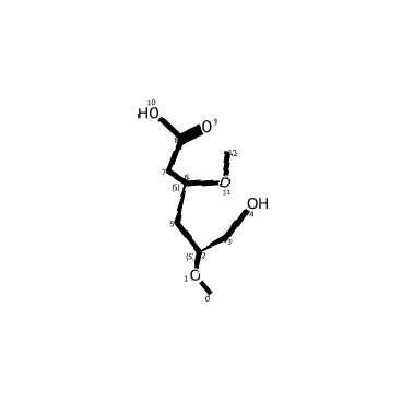 CO[C@H](CO)C[C@@H](CC(=O)O)OC